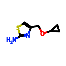 Nc1nc(COC2CC2)cs1